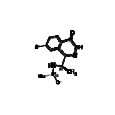 C[C@@H](N[S@+]([O-])C(C)(C)C)c1n[nH]c(=O)c2ccc(Br)cc12